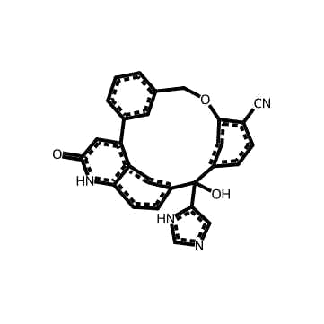 N#Cc1ccc2cc1OCc1cccc(c1)-c1cc(=O)[nH]c3ccc(cc13)C2(O)c1cnc[nH]1